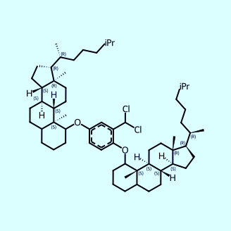 CC(C)CCC[C@@H](C)[C@H]1CC[C@H]2[C@@H]3CCC4CCCC(Oc5ccc(OC6CCCC7CC[C@@H]8[C@H](CC[C@]9(C)[C@@H]([C@H](C)CCCC(C)C)CC[C@@H]89)[C@]76C)c(C(Cl)Cl)c5)[C@]4(C)[C@H]3CC[C@]12C